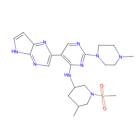 CC1CC(Nc2nc(N3CCN(C)CC3)ncc2-c2cnc3[nH]ccc3n2)CN(S(C)(=O)=O)C1